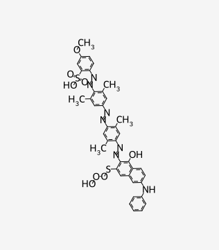 COc1ccc(N=Nc2c(C)cc(N=Nc3cc(C)c(N=Nc4c(SOOO)cc5cc(Nc6ccccc6)ccc5c4O)cc3C)cc2C)c(S(=O)(=O)O)c1